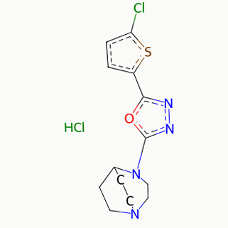 Cl.Clc1ccc(-c2nnc(N3CCN4CCC3CC4)o2)s1